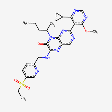 CCCC(C)n1c(=O)c(NCc2ccc(S(=O)(=O)CC)cn2)nc2cnc(-c3c(OC)ncnc3C3CC3)nc21